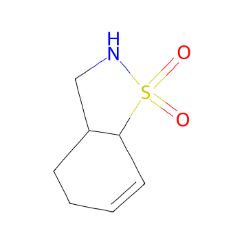 O=S1(=O)NCC2CCC=CC21